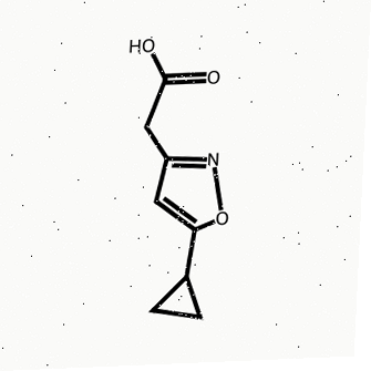 O=C(O)Cc1cc(C2CC2)on1